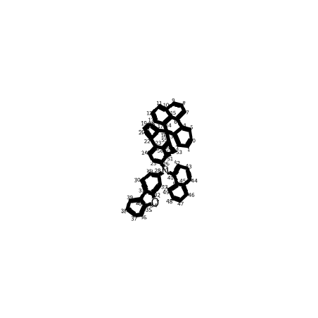 c1ccc2c(c1)-c1cccc3cccc(c13)C21c2ccccc2-c2ccc(N(c3ccc4c(c3)oc3ccccc34)c3cccc4ccccc34)c3cccc1c23